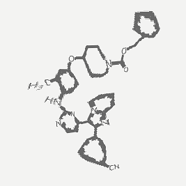 Cc1cc(OC2CCN(C(=O)OCc3ccccc3)CC2)ccc1Nc1nccc(-c2c(-c3cccc(C#N)c3)nc3ccccn23)n1